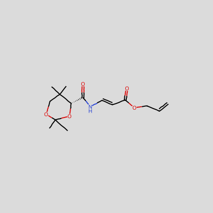 C=CCOC(=O)/C=C/NC(=O)[C@@H]1OC(C)(C)OCC1(C)C